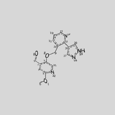 COc1cc(C=O)c(OCc2cccnc2-c2cn[nH]c2)cn1